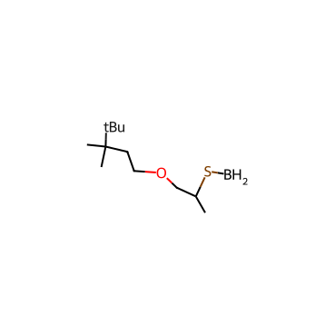 BSC(C)COCCC(C)(C)C(C)(C)C